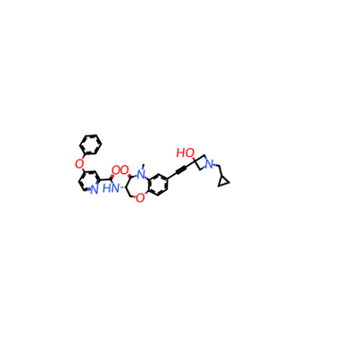 CN1C(=O)[C@@H](NC(=O)c2cc(Oc3ccccc3)ccn2)COc2ccc(C#CC3(O)CN(CC4CC4)C3)cc21